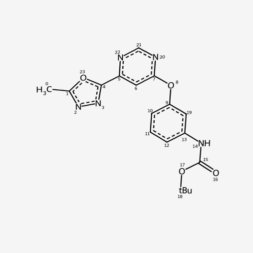 Cc1nnc(-c2cc(Oc3cccc(NC(=O)OC(C)(C)C)c3)ncn2)o1